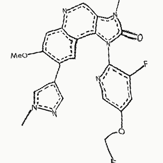 COc1cc2ncc3c(c2cc1-c1cnn(C)c1)n(-c1ncc(OCF)cc1F)c(=O)n3C